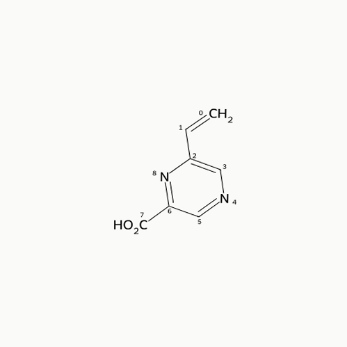 C=Cc1cncc(C(=O)O)n1